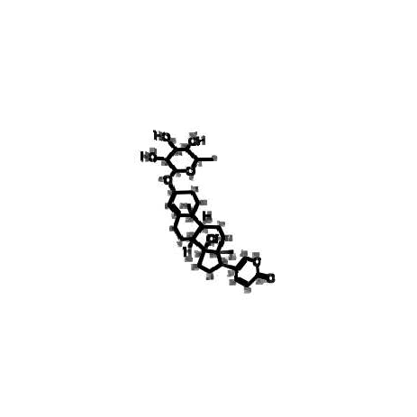 CC1OC(O[C@@H]2C=C3CC[C@@H]4[C@H](CC[C@]5(C)[C@@H](c6ccc(=O)oc6)CC[C@]45O)[C@@]3(C)CC2)C(O)C(O)C1O